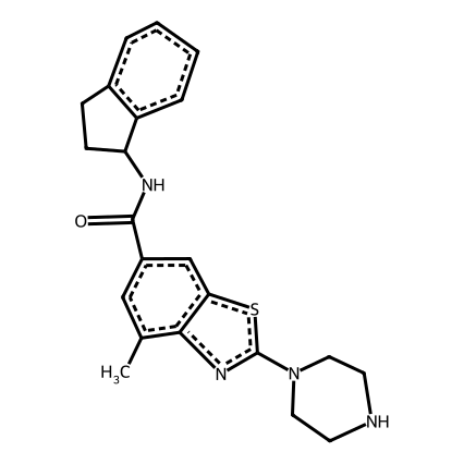 Cc1cc(C(=O)NC2CCc3ccccc32)cc2sc(N3CCNCC3)nc12